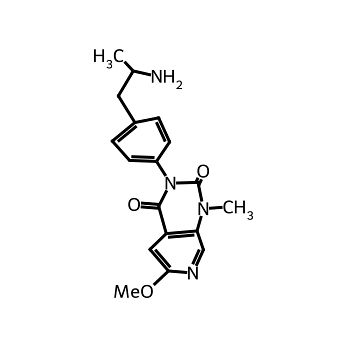 COc1cc2c(=O)n(-c3ccc(CC(C)N)cc3)c(=O)n(C)c2cn1